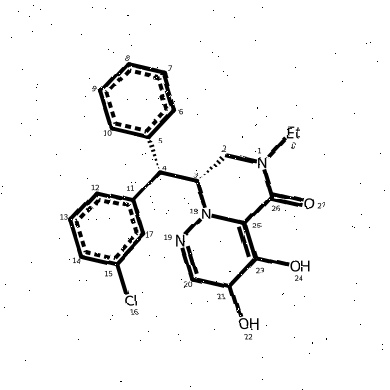 CCN1C[C@@H]([C@@H](c2ccccc2)c2cccc(Cl)c2)N2N=CC(O)C(O)=C2C1=O